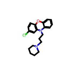 Clc1ccc2c(c1)N(CCCN1CCCCC1)c1ccccc1O2